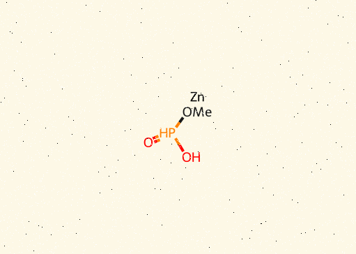 CO[PH](=O)O.[Zn]